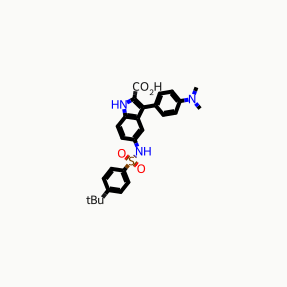 CN(C)c1ccc(-c2c(C(=O)O)[nH]c3ccc(NS(=O)(=O)c4ccc(C(C)(C)C)cc4)cc23)cc1